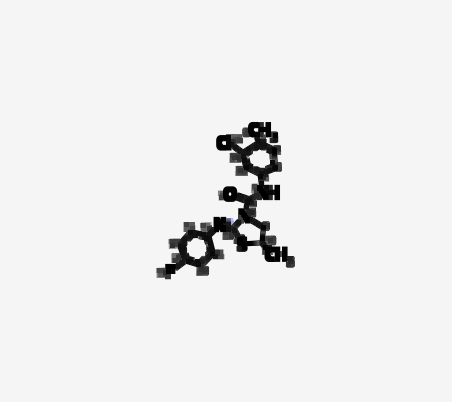 Cc1ccc(NC(=O)N2CC(C)S/C2=N\c2ccc(F)cc2)cc1Cl